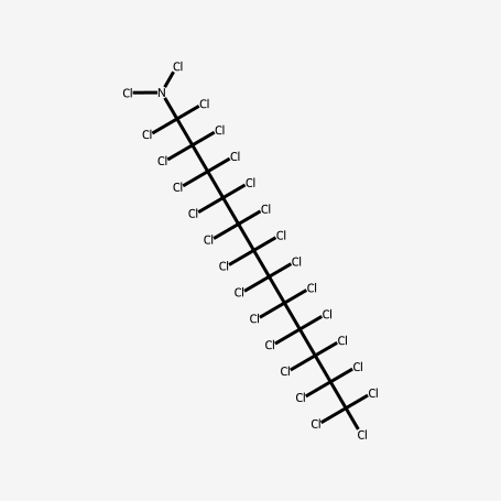 ClN(Cl)C(Cl)(Cl)C(Cl)(Cl)C(Cl)(Cl)C(Cl)(Cl)C(Cl)(Cl)C(Cl)(Cl)C(Cl)(Cl)C(Cl)(Cl)C(Cl)(Cl)C(Cl)(Cl)C(Cl)(Cl)C(Cl)(Cl)Cl